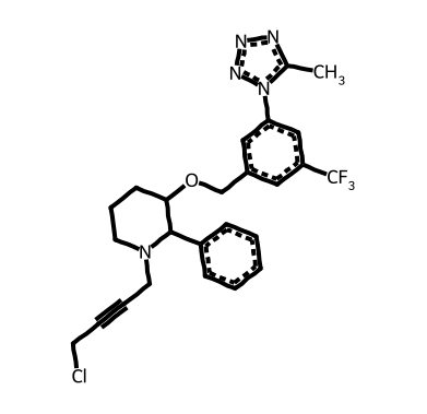 Cc1nnnn1-c1cc(COC2CCCN(CC#CCCl)C2c2ccccc2)cc(C(F)(F)F)c1